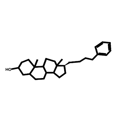 CC12CCC(O)CC1CCC1C2CCC2(C)C1CC[C@@H]2CCCCc1ccccc1